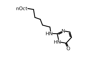 CCCCCCCCCCCCCNc1nccc(=O)[nH]1